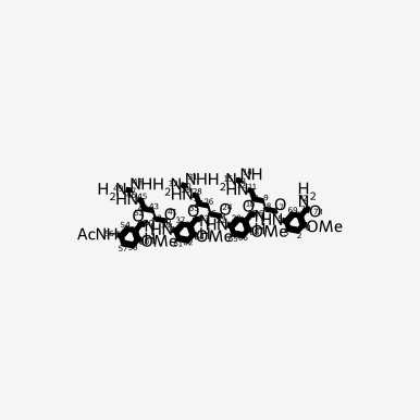 COc1ccc(NC(=O)[C@H](CCCNC(=N)N)NC(=O)c2cc(NC(=O)[C@H](CCCNC(=N)N)NC(=O)c3cc(NC(=O)[C@H](CCCNC(=N)N)NC(=O)c4cc(NC(C)=O)ccc4OC)ccc3OC)ccc2OC)cc1C(N)=O